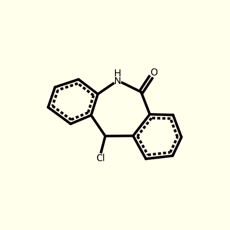 O=C1Nc2ccccc2C(Cl)c2ccccc21